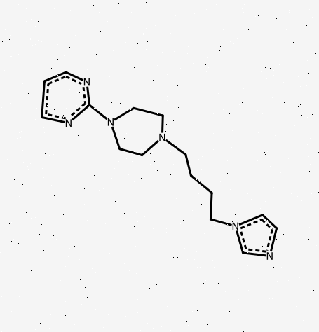 c1cnc(N2CCN(CCCCn3ccnc3)CC2)nc1